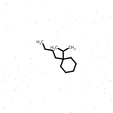 CCCCC1(C(C)C)[C]CCCC1